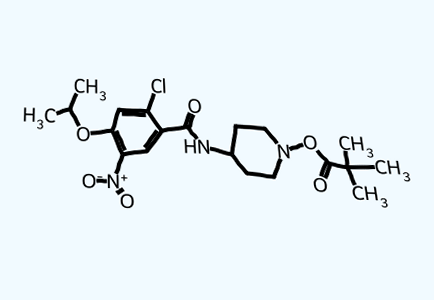 CC(C)Oc1cc(Cl)c(C(=O)NC2CCN(OC(=O)C(C)(C)C)CC2)cc1[N+](=O)[O-]